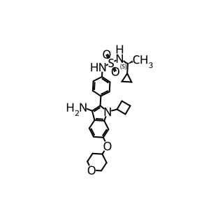 C[C@H](NS(=O)(=O)Nc1ccc(-c2c(N)c3ccc(OC4CCOCC4)cc3n2C2CCC2)cc1)C1CC1